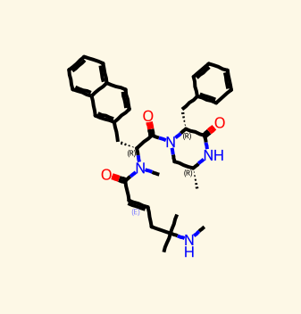 CNC(C)(C)C/C=C/C(=O)N(C)[C@H](Cc1ccc2ccccc2c1)C(=O)N1C[C@@H](C)NC(=O)[C@H]1Cc1ccccc1